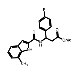 COC(=O)CC(NC(=O)c1cc2cccc(C)c2[nH]1)c1ccc(F)cc1